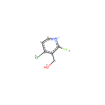 OCc1c(Cl)ccnc1F